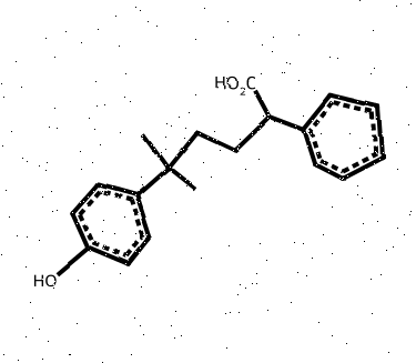 CC(C)(CCC(C(=O)O)c1ccccc1)c1ccc(O)cc1